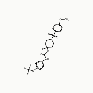 COc1ccc(S(=O)(=O)N2CCC(F)(OC(=O)Nc3ccc(OC(F)(F)F)cc3)CC2)cc1